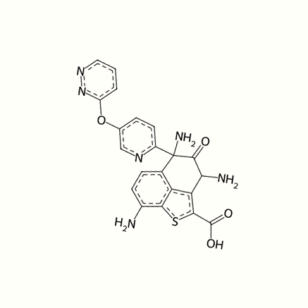 Nc1ccc2c3c(c(C(=O)O)sc13)C(N)C(=O)C2(N)c1ccc(Oc2cccnn2)cn1